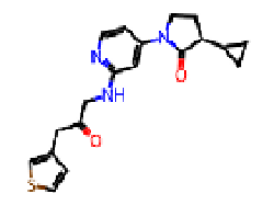 O=C(CNc1cc(N2CCC(C3CC3)C2=O)ccn1)Cc1ccsc1